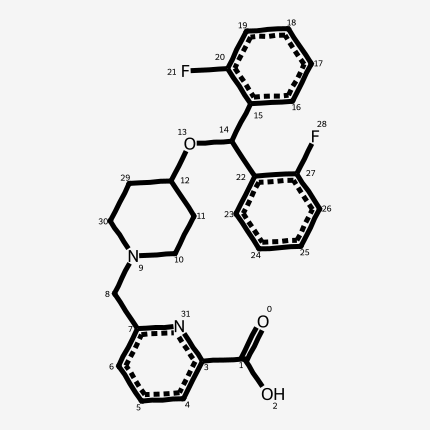 O=C(O)c1cccc(CN2CCC(OC(c3ccccc3F)c3ccccc3F)CC2)n1